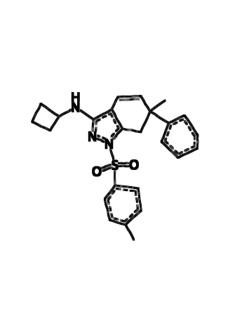 Cc1ccc(S(=O)(=O)n2nc(NC3CCC3)c3c2CC(C)(c2ccccc2)C=C3)cc1